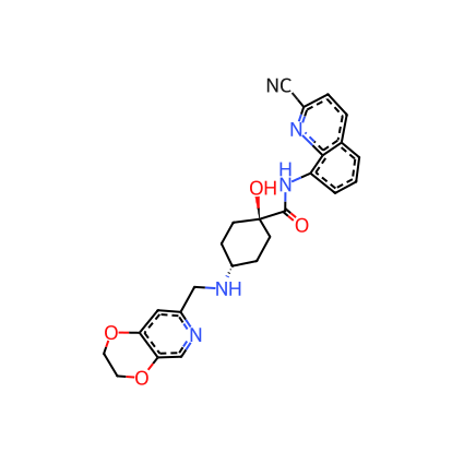 N#Cc1ccc2cccc(NC(=O)[C@]3(O)CC[C@H](NCc4cc5c(cn4)OCCO5)CC3)c2n1